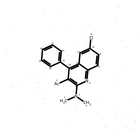 CC(=O)c1c(N(C)C)nc2ccc(Cl)cc2c1-c1ccccc1